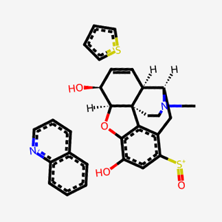 CN1CC[C@]23c4c5c([S+]=O)cc(O)c4O[C@H]2[C@@H](O)C=C[C@H]3[C@H]1C5.c1ccc2ncccc2c1.c1ccsc1